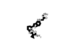 CC(C)(C)OC(=O)CNc1ccc2sc(-c3cccc4nc(C5(C(N)=O)CC5)nn34)cc2c1